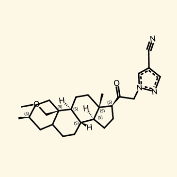 COC[C@]12CC[C@H](C)CC1CC[C@@H]1[C@@H]2CC[C@]2(C)[C@@H](C(=O)Cn3cc(C#N)cn3)CC[C@@H]12